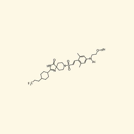 CCCOCCN(C(C)=O)c1cc(C)c(/C=C/S(=O)(=O)N2CCC3(CC2)N=C(C2CCC(CCC(F)(F)F)CC2)NC3=O)c(C)c1